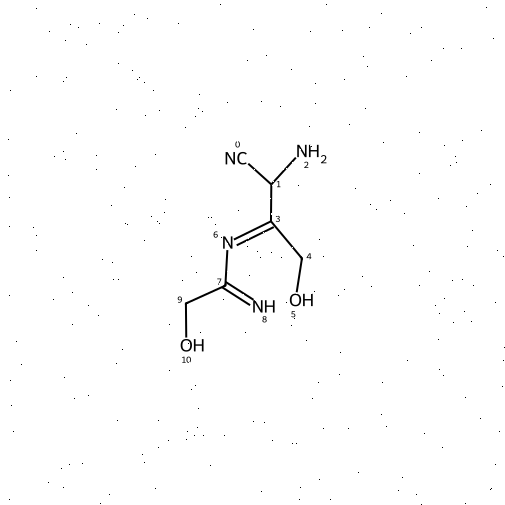 N#CC(N)C(CO)=NC(=N)CO